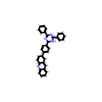 c1ccc(C2=NC(c3ccc(-c4ccc5nc6ccccc6cc5c4)cc3)NC(c3ccccc3)=N2)cc1